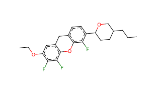 CCCC1CCC(c2ccc3c(c2F)Oc2c(cc(OCC)c(F)c2F)C3)OC1